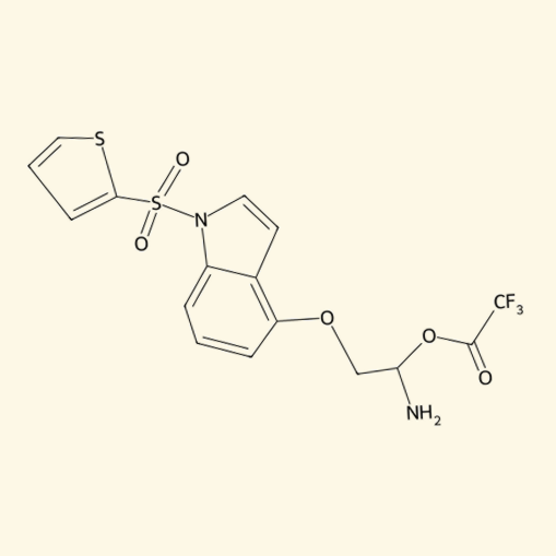 NC(COc1cccc2c1ccn2S(=O)(=O)c1cccs1)OC(=O)C(F)(F)F